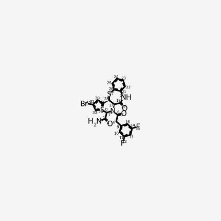 CC(C(N)=O)N(C(=O)Cc1cc(F)cc(F)c1)[C@@H]1C(=O)Nc2ccccc2S[C@@H]1c1cc(Br)cs1